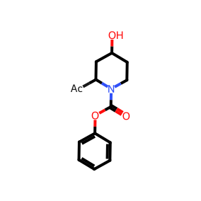 CC(=O)C1CC(O)CCN1C(=O)Oc1ccccc1